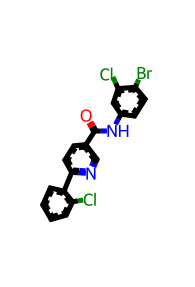 O=C(Nc1ccc(Br)c(Cl)c1)c1ccc(-c2ccccc2Cl)nc1